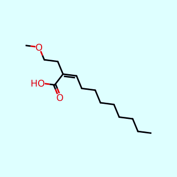 CCCCCCCCC=C(CCOC)C(=O)O